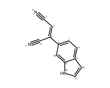 N#CC=C(C#N)c1ccc2cc[nH]c2c1